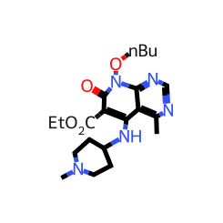 CCCCOn1c(=O)c(C(=O)OCC)c(NC2CCN(C)CC2)c2c(C)ncnc21